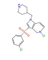 O=S(=O)(c1cccc(Cl)c1)c1cn(CC2CCNCC2)c2c1CN(Cl)C=C2